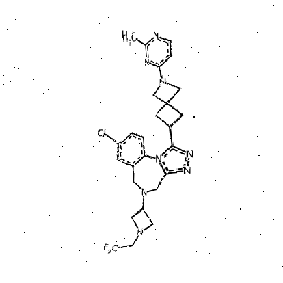 Cc1nccc(N2CC3(CC(c4nnc5n4-c4ccc(Cl)cc4CN(C4CN(CC(F)(F)F)C4)C5)C3)C2)n1